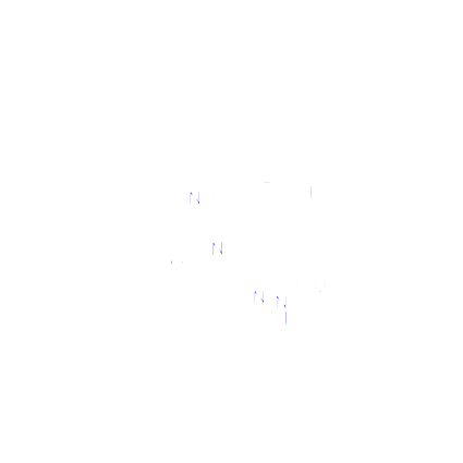 CC(c1n[nH]c(=O)c2cc(F)c(F)cc12)N(C)C(=O)[C@@H]1Cc2ccccc2N1